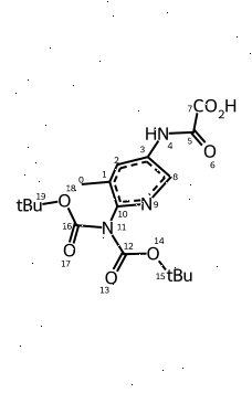 Cc1cc(NC(=O)C(=O)O)cnc1N(C(=O)OC(C)(C)C)C(=O)OC(C)(C)C